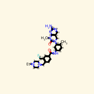 CCN1CCN(Cc2ccc(C(=O)Nc3ccc(C)c(N4Cc5cnc(N)nc5N(C)C4=O)c3)cc2CF)CC1